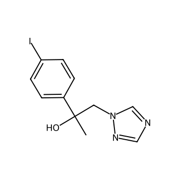 CC(O)(Cn1cncn1)c1ccc(I)cc1